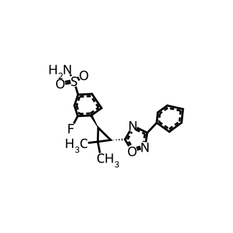 CC1(C)[C@@H](c2nc(-c3ccccc3)no2)[C@@H]1c1ccc(S(N)(=O)=O)cc1F